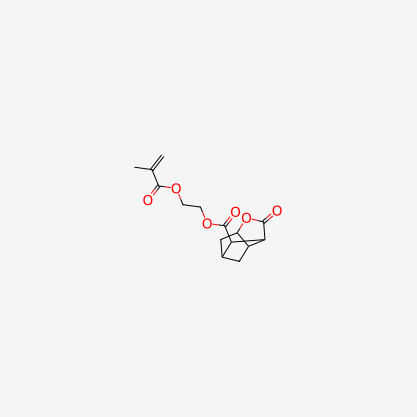 C=C(C)C(=O)OCCOC(=O)C1C2CC3OC(=O)C1C3C2